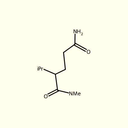 CNC(=O)C(CCC(N)=O)C(C)C